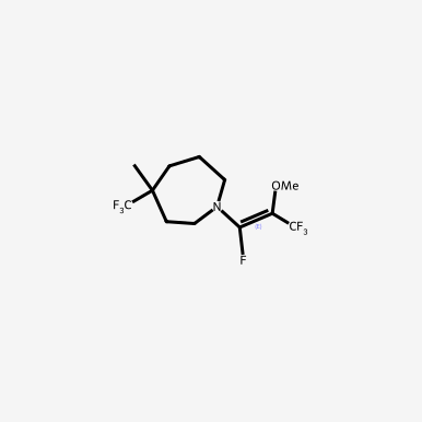 CO/C(=C(/F)N1CCCC(C)(C(F)(F)F)CC1)C(F)(F)F